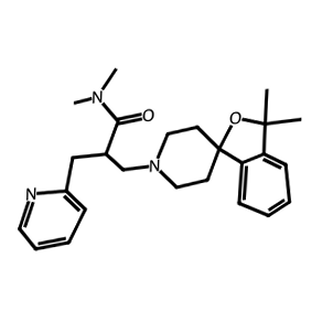 CN(C)C(=O)C(Cc1ccccn1)CN1CCC2(CC1)OC(C)(C)c1ccccc12